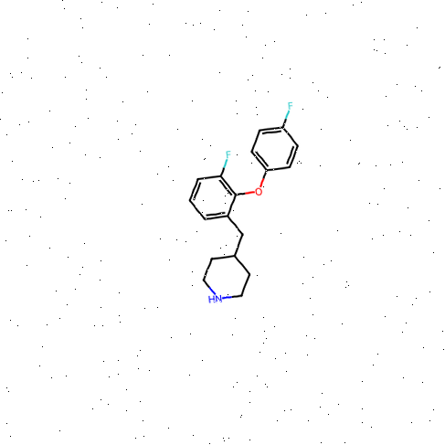 Fc1ccc(Oc2c(F)cccc2CC2CCNCC2)cc1